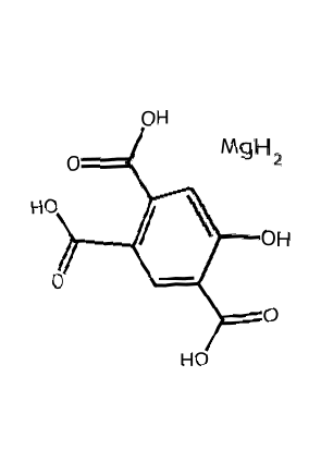 O=C(O)c1cc(C(=O)O)c(C(=O)O)cc1O.[MgH2]